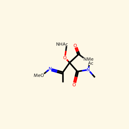 CNC(=O)C(ONC(C)=O)(C(=O)N(C)C(C)=O)/C(C)=N/OC